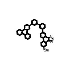 CC(C)(C)c1ccc2c3ccc(-c4cccc(-c5cccc(-c6ccc7c8ccccc8c8ccccc8c7c6)c5)c4)cc3c3nsnc3c2c1